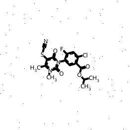 Cc1c(SC#N)c(=O)n(-c2cc(C(=O)OC(C)C)c(Cl)cc2F)c(=O)n1C